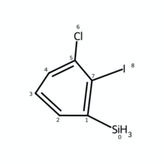 [SiH3]c1cccc(Cl)c1I